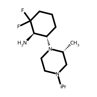 CC(C)N1CCN([C@H]2CCCC(F)(F)[C@@H]2N)[C@H](C)C1